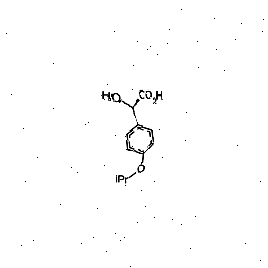 CC(C)Oc1ccc([C@@H](O)C(=O)O)cc1